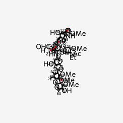 CCN(C(C)=O)C1COC(OC2C(O[C@H]3C=CC34/C(=C\CSSC(C)(N)CC=O)C3(O)CC(=O)C4(NC(=O)OC)C3)OC(C)C(NOC3CC(O)C(SC(=O)c4c(C)c(I)c(OC5OC(C)C(O)C(OC)C5O)c(OC)c4OC)C(C)O3)C2O)CC1OC